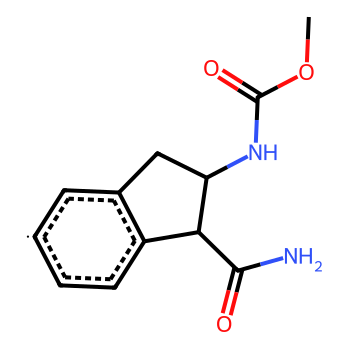 COC(=O)NC1Cc2c[c]ccc2C1C(N)=O